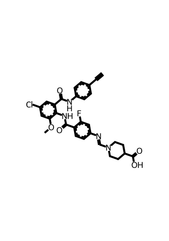 C#Cc1ccc(NC(=O)c2cc(Cl)cc(OC)c2NC(=O)c2ccc(N=CN3CCC(C(=O)O)CC3)cc2F)cc1